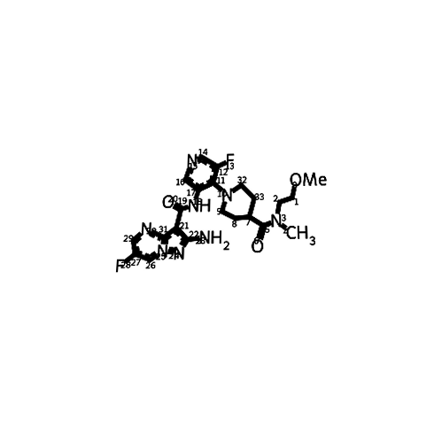 COCCN(C)C(=O)C1CCN(c2c(F)cncc2NC(=O)c2c(N)nn3cc(F)cnc23)CC1